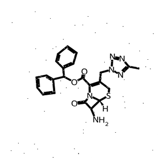 Cc1nnn(CC2=C(C(=O)OC(c3ccccc3)c3ccccc3)N3C(=O)C(N)[C@H]3SC2)n1